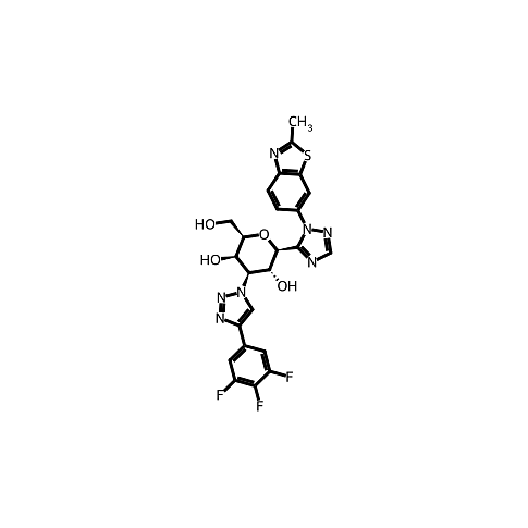 Cc1nc2ccc(-n3ncnc3[C@@H]3O[C@H](CO)[C@H](O)[C@H](n4cc(-c5cc(F)c(F)c(F)c5)nn4)[C@H]3O)cc2s1